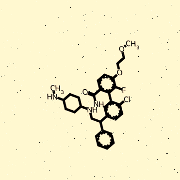 CNC1CCC(NCC(c2ccccc2)c2ccc(Cl)c(-c3c(C(N)=O)ccc(OCCOC)c3F)c2)CC1